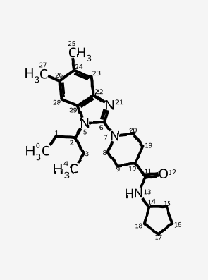 CCC(CC)n1c(N2CCC(C(=O)NC3CCCC3)CC2)nc2cc(C)c(C)cc21